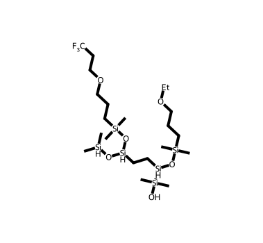 CCOCCC[Si](C)(C)O[SiH](CC[SiH](O[SiH](C)C)O[Si](C)(C)CCCOCCC(F)(F)F)[Si](C)(C)O